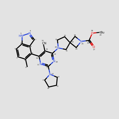 Cc1ccc2[nH]ncc2c1-c1nc(N2CCCC2)nc(N2CCC3(CN(C(=O)OC(C)(C)C)C3)C2)c1C#N